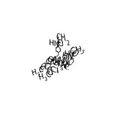 C=CC(=O)Nc1ccc(CCn2c(=O)c(-c3c(Cl)c(OC)cc(OC)c3Cl)cc3cnc(Nc4c(C)cccc4NC(C)=O)nc32)cc1